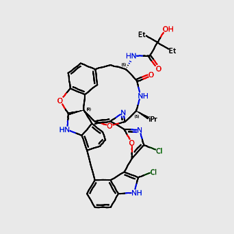 CCC(O)(CC)C(=O)N[C@H]1Cc2ccc3c(c2)[C@]24c5cccc(c5NC2O3)-c2cccc3[nH]c(Cl)c(c23)-c2oc(nc2Cl)-c2nc(oc24)[C@H](C(C)C)NC1=O